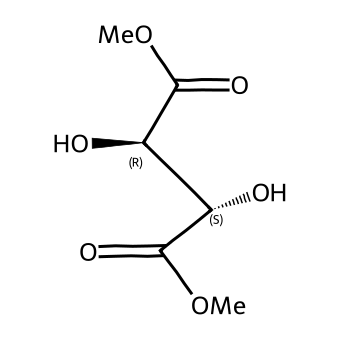 COC(=O)[C@@H](O)[C@@H](O)C(=O)OC